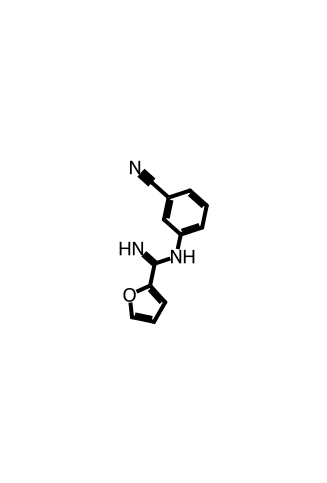 N#Cc1cccc(NC(=N)c2ccco2)c1